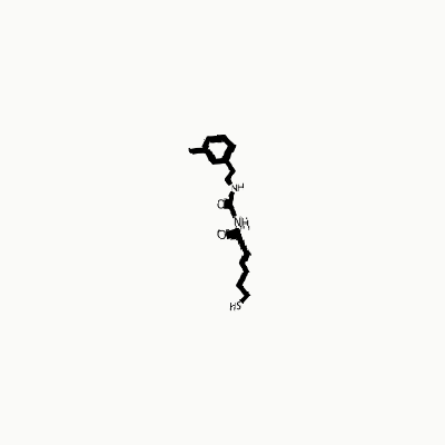 Cc1cccc(CCNC(=O)NC(=O)CCCCCS)c1